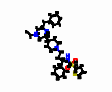 CCN1C=C(Cc2ccccc2)N=C(C2CCN(CC[C@@H](NS(=O)(=O)c3cccs3)c3ccccc3)CC2)C1